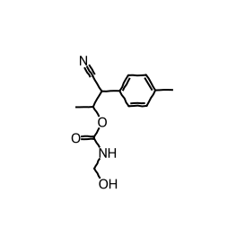 Cc1ccc(C(C#N)C(C)OC(=O)NCO)cc1